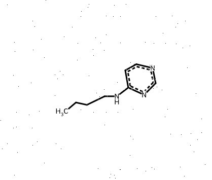 CCCCNc1c[c]ncn1